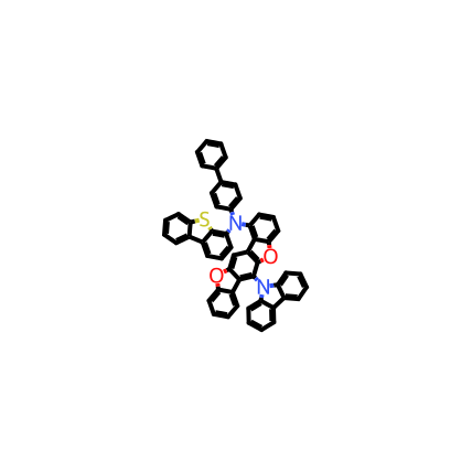 c1ccc(-c2ccc(N(c3cccc4c3sc3ccccc34)c3cccc4oc5c(-n6c7ccccc7c7ccccc76)c6c(cc5c34)oc3ccccc36)cc2)cc1